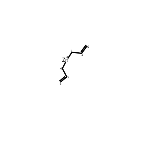 C=C[CH2][Zn][CH2]C=C